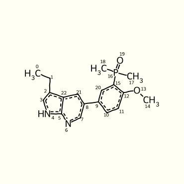 CCc1c[nH]c2ncc(-c3ccc(OC)c(P(C)(C)=O)c3)cc12